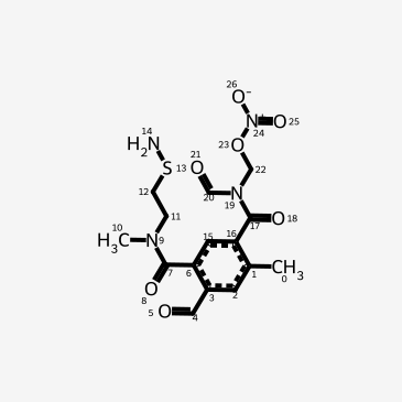 Cc1cc(C=O)c(C(=O)N(C)CCSN)cc1C(=O)N(C=O)CO[N+](=O)[O-]